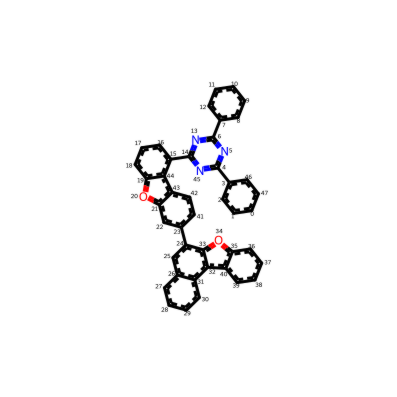 c1ccc(-c2nc(-c3ccccc3)nc(-c3cccc4oc5cc(-c6cc7ccccc7c7c6oc6ccccc67)ccc5c34)n2)cc1